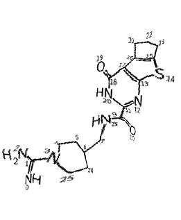 N=C(N)N1CCC(CNC(=O)c2nc3sc4c(c3c(=O)[nH]2)CCC4)CC1